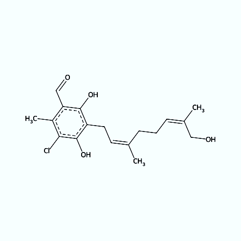 CC(=CCCC(C)=CCc1c(O)c(Cl)c(C)c(C=O)c1O)CO